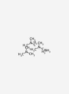 CN(C)C.CN(C)C.CN(C)C.[BiH3]